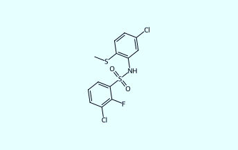 CSc1ccc(Cl)cc1NS(=O)(=O)c1cccc(Cl)c1F